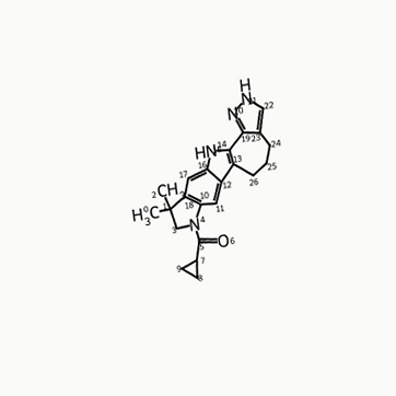 CC1(C)CN(C(=O)C2CC2)c2cc3c4c([nH]c3cc21)-c1n[nH]cc1CCC4